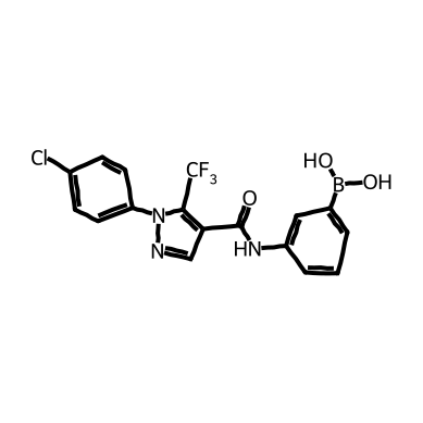 O=C(Nc1cccc(B(O)O)c1)c1cnn(-c2ccc(Cl)cc2)c1C(F)(F)F